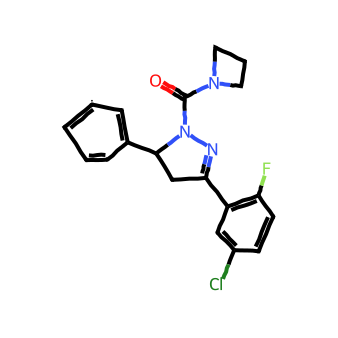 O=C(N1CCC1)N1N=C(c2cc(Cl)ccc2F)CC1c1c[c]ccc1